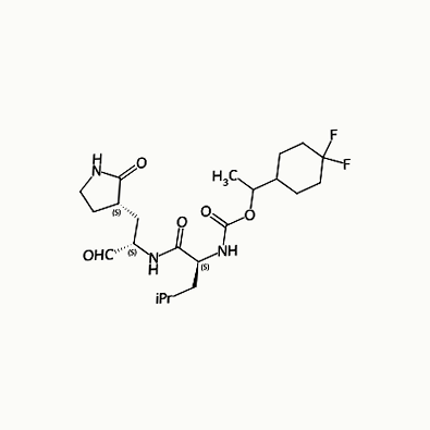 CC(C)C[C@H](NC(=O)OC(C)C1CCC(F)(F)CC1)C(=O)N[C@H](C=O)C[C@@H]1CCNC1=O